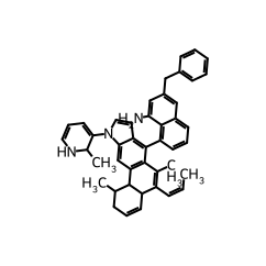 C/C=C\C1=C(C)c2c(cc3c(ccn3C3=CC=CNC3C)c2-c2cccc3cc(Cc4ccccc4)cc(N)c23)C2C(C)CC=CC12